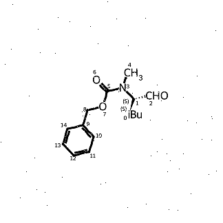 CC[C@H](C)[C@@H](C=O)N(C)C(=O)OCc1ccccc1